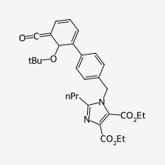 CCCc1nc(C(=O)OCC)c(C(=O)OCC)n1Cc1ccc(C2=CC=CC(=C=O)C2OC(C)(C)C)cc1